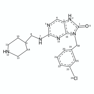 O=c1[nH]c2cnc(NCC3CCNCC3)nc2n1Cc1cccc(Cl)c1